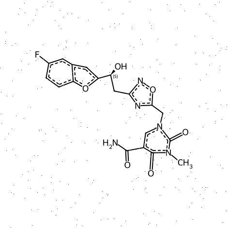 Cn1c(=O)c(C(N)=O)cn(Cc2nc(C[C@H](O)c3cc4cc(F)ccc4o3)no2)c1=O